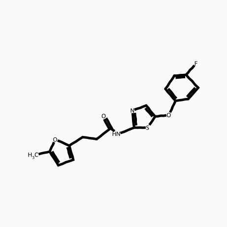 Cc1ccc(CCC(=O)Nc2ncc(Oc3ccc(F)cc3)s2)o1